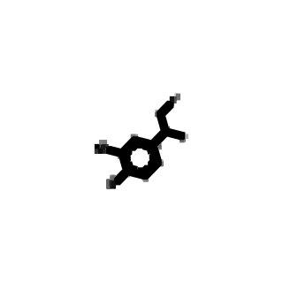 [CH2]C(CF)c1ccc(Br)c(C#N)c1